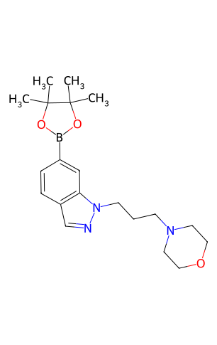 CC1(C)OB(c2ccc3cnn(CCCN4CCOCC4)c3c2)OC1(C)C